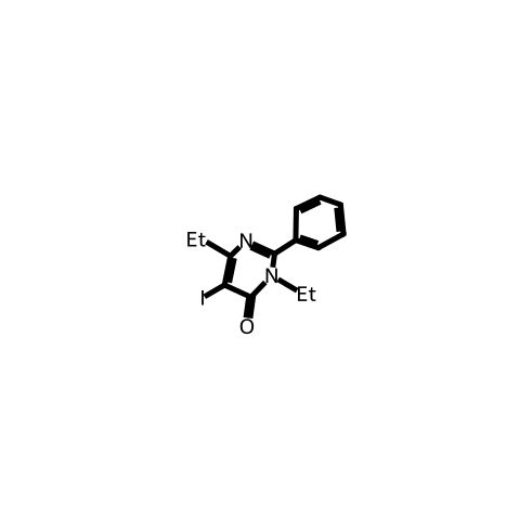 CCc1nc(-c2ccccc2)n(CC)c(=O)c1I